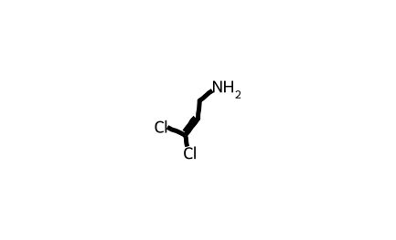 NCC=C(Cl)Cl